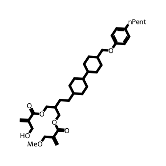 C=C(CO)C(=O)OCC(CCC1CCC(C2CCC(COc3ccc(CCCCC)cc3)CC2)CC1)COC(=O)C(=C)COC